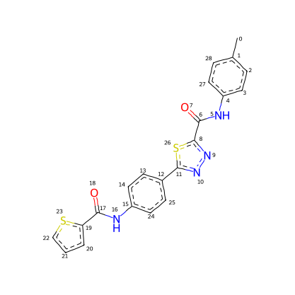 Cc1ccc(NC(=O)c2nnc(-c3ccc(NC(=O)c4cccs4)cc3)s2)cc1